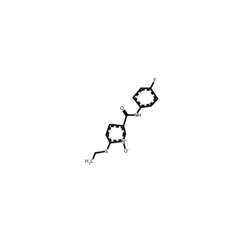 CCSc1ccc(C(=O)Nc2ccc(F)cc2)c[n+]1[O-]